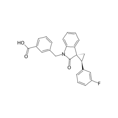 O=C(O)c1cccc(CN2C(=O)[C@@]3(C[C@H]3c3cccc(F)c3)c3ccccc32)c1